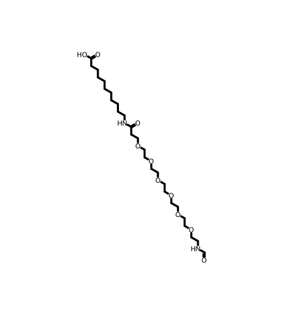 O=CNCCOCCOCCOCCOCCOCCOCCC(=O)NCCCCCCCCCCC(=O)O